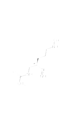 CNCCC[C@H](CNC(C)=O)N=N